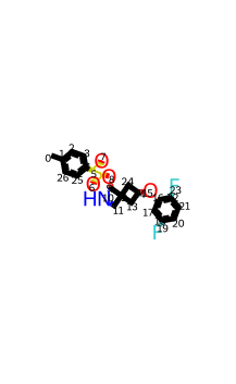 Cc1ccc(S(=O)(=O)OC2NCC23CC(Oc2cc(F)ccc2F)C3)cc1